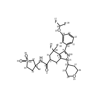 CC1(NC(=O)C2Cc3c(c(-c4cccc(OC(F)F)c4)nn3C3CCOCC3)C(F)(F)C2)CCS(=O)(=O)C1